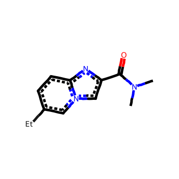 CCc1ccc2nc(C(=O)N(C)C)cn2c1